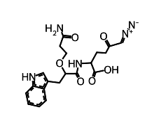 [N-]=[N+]=CC(=O)CCC(NC(=O)C(Cc1c[nH]c2ccccc12)OCCC(N)=O)C(=O)O